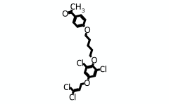 CC(=O)c1ccc(OCCCCCOc2c(Cl)cc(OCC=C(Cl)Cl)cc2Cl)cc1